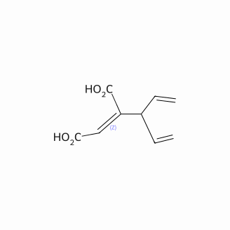 C=CC(C=C)/C(=C/C(=O)O)C(=O)O